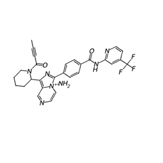 CC#CC(=O)N1CCCCC1C1=C2C=NC=C[N+]2(N)C(c2ccc(C(=O)Nc3cc(C(F)(F)F)ccn3)cc2)=N1